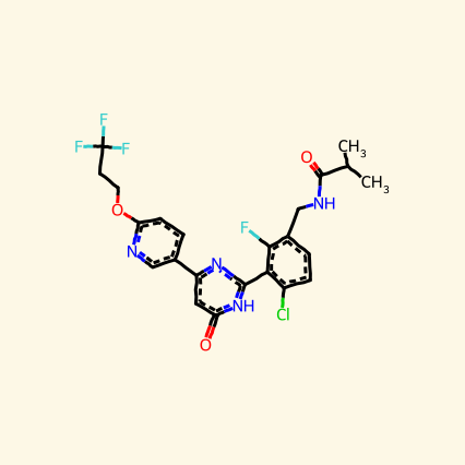 CC(C)C(=O)NCc1ccc(Cl)c(-c2nc(-c3ccc(OCCC(F)(F)F)nc3)cc(=O)[nH]2)c1F